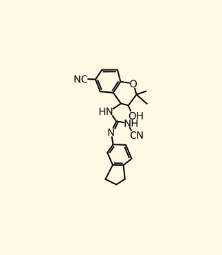 CC1(C)Oc2ccc(C#N)cc2C(NC(=Nc2ccc3c(c2)CCC3)NC#N)C1O